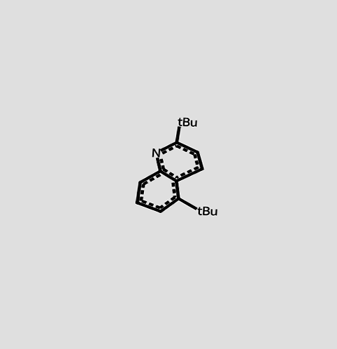 CC(C)(C)c1ccc2c(C(C)(C)C)cccc2n1